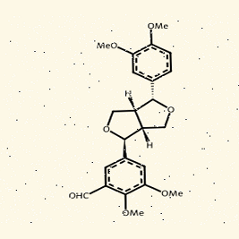 COc1ccc([C@@H]2OC[C@H]3[C@@H]2CO[C@@H]3c2cc(C=O)c(OC)c(OC)c2)cc1OC